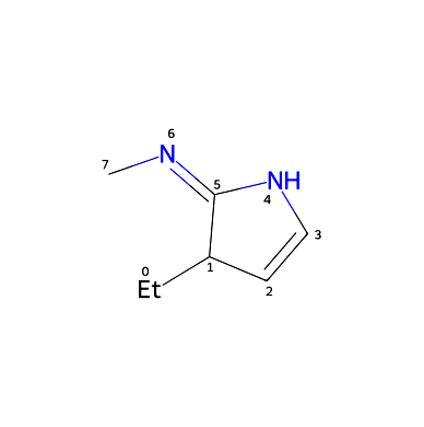 CCC1C=CN/C1=N/C